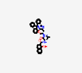 CC(C)C[C@H](NC(=O)c1ccc2ccccc2c1O)C(=O)N[C@H](C=O)Cc1cn(C(c2ccccc2)(c2ccccc2)c2ccccc2)cn1